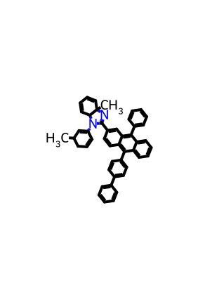 CC1C=C(N2C(c3ccc4c(-c5ccc(-c6ccccc6)cc5)c5ccccc5c(-c5ccccc5)c4c3)=NC3(C)C=CC=CC23)C=CC1